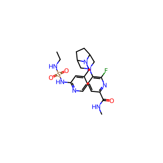 CCNS(=O)(=O)Nc1cc(CN2C3CCC2CN(c2ccc(C(=O)NC)nc2F)C3)ccn1